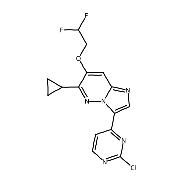 FC(F)COc1cc2ncc(-c3ccnc(Cl)n3)n2nc1C1CC1